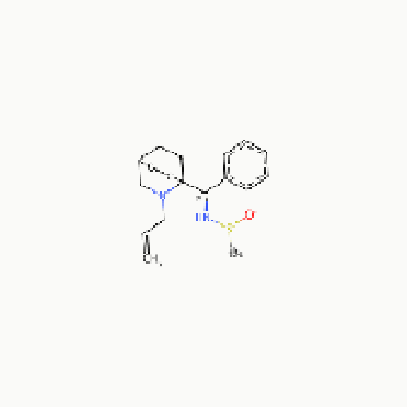 C=CCN1CC2CCC1([C@H](N[S+]([O-])C(C)(C)C)c1ccccc1)CC2